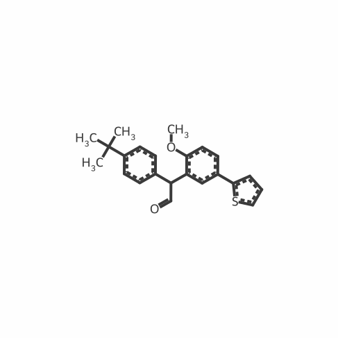 COc1ccc(-c2cccs2)cc1C(C=O)c1ccc(C(C)(C)C)cc1